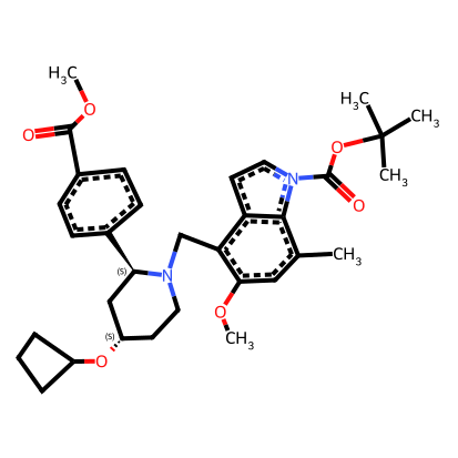 COC(=O)c1ccc([C@@H]2C[C@@H](OC3CCC3)CCN2Cc2c(OC)cc(C)c3c2ccn3C(=O)OC(C)(C)C)cc1